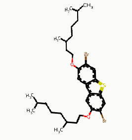 CC(C)CCCC(C)CCOc1cc2c(cc1Br)sc1cc(Br)c(OCCC(C)CCCC(C)C)cc12